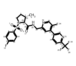 C[C@H]1CCN(S(=O)(=O)c2ccc(F)cc2)[C@@H]1C(=O)NCc1cc(-c2ccc(C(F)(F)F)nc2)c(F)cn1